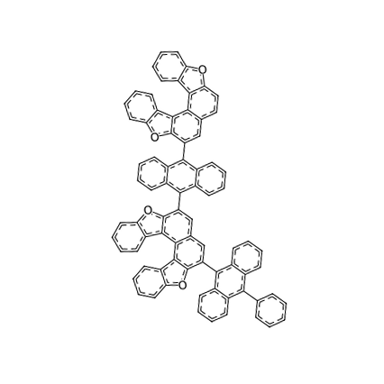 c1ccc(-c2c3ccccc3c(-c3cc4cc(-c5c6ccccc6c(-c6cc7ccc8oc9ccccc9c8c7c7c6oc6ccccc67)c6ccccc56)c5oc6ccccc6c5c4c4c3oc3ccccc34)c3ccccc23)cc1